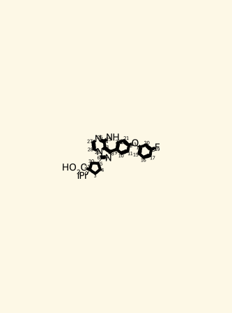 CC(C)[C@@]1(C(=O)O)CC[C@@H](c2nc(-c3ccc(Oc4cccc(F)c4)cc3)c3c(N)nccn23)C1